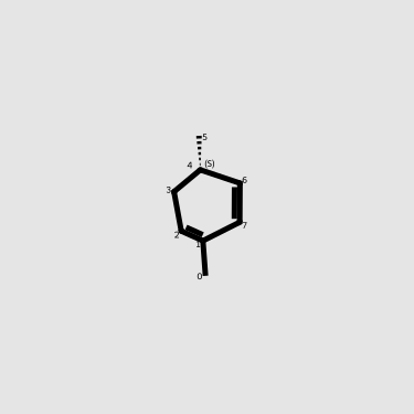 CC1=CC[C@H](C)C=C1